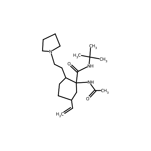 C=CC1CCC(CCN2CCCC2)C(NC(C)=O)(C(=O)NC(C)(C)C)C1